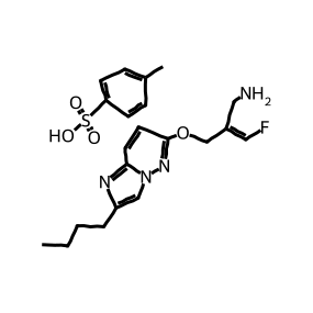 CCCCc1cn2nc(OC/C(=C/F)CN)ccc2n1.Cc1ccc(S(=O)(=O)O)cc1